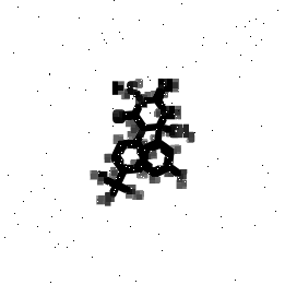 CN1C(=N)N[C@](C)(c2cccc(F)c2)[C@@H](c2ccc(C(F)(F)F)cc2)C1=O